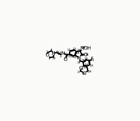 O=C(NCCN1CCOCC1)c1ccc2c(c1)N(Cc1cc(F)cc3c1OCOC3)C(=O)/C2=N\O